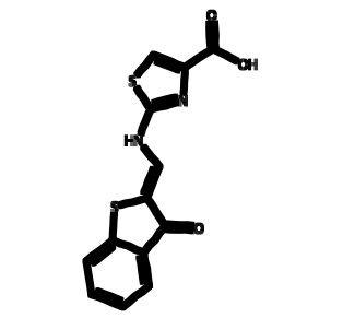 O=C(O)c1csc(NC=C2Sc3ccccc3C2=O)n1